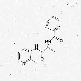 Cc1ncccc1NC(=O)C(C)NC(=O)c1ccccc1